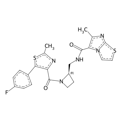 Cc1nc(C(=O)N2CC[C@@H]2CNC(=O)c2c(C)nc3sccn23)c(-c2ccc(F)cc2)s1